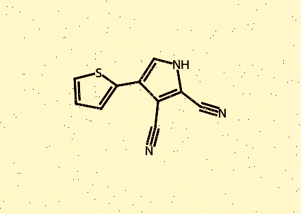 N#Cc1[nH]cc(-c2cccs2)c1C#N